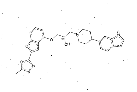 Cc1nnc(-c2cc3c(OC[C@@H](O)CN4CCC(c5ccc6cc[nH]c6c5)CC4)cccc3o2)o1